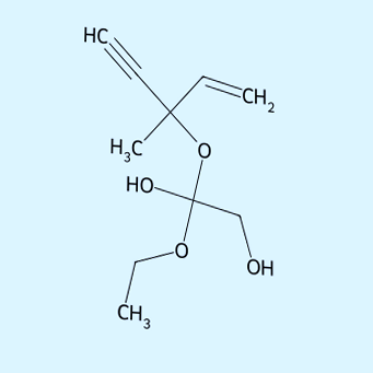 C#CC(C)(C=C)OC(O)(CO)OCC